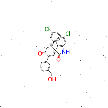 O=C1C[C@@H](c2cccc(Cl)c2)[C@@]2(C=C1c1cccc(CO)c1)C(=O)Nc1cc(Cl)ccc12